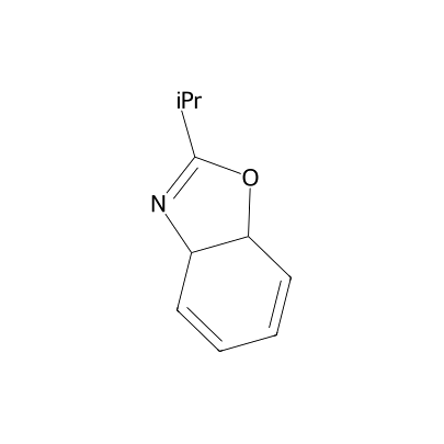 CC(C)C1=NC2C=CC=CC2O1